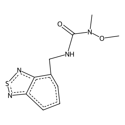 CON(C)C(=O)NCc1cccc2nsnc12